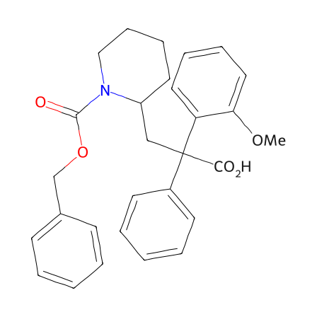 COc1ccccc1C(CC1CCCCN1C(=O)OCc1ccccc1)(C(=O)O)c1ccccc1